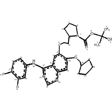 CC(C)(C)OC(=O)N1CCCC1COc1cc2c(Nc3ccc(F)c(Cl)c3)ncnc2cc1OC1CCCC1